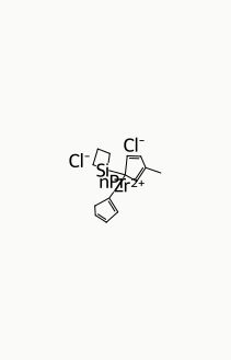 CCC[Si]1([C]2([Zr+2][C]3=CC=CC3)C=CC(C)=C2)CCC1.[Cl-].[Cl-]